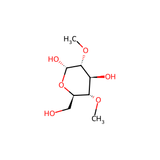 CO[C@@H]1[C@@H](O)[C@H](OC)[C@@H](CO)O[C@@H]1O